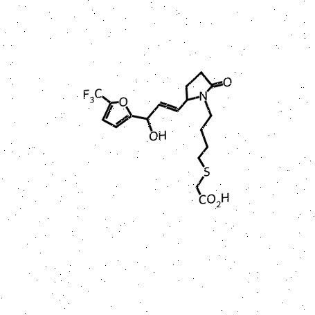 O=C(O)CSCCCCN1C(=O)CCC1C=CC(O)c1ccc(C(F)(F)F)o1